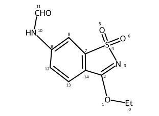 CCOC1=NS(=O)(=O)c2cc(NC=O)ccc21